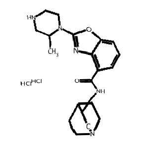 CC1CNCCN1c1nc2c(C(=O)NC3CN4CCC3CC4)cccc2o1.Cl.Cl